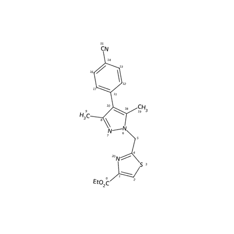 CCOC(=O)c1csc(Cn2nc(C)c(-c3ccc(C#N)cc3)c2C)n1